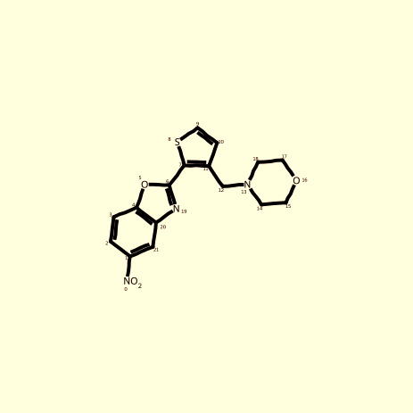 O=[N+]([O-])c1ccc2oc(-c3sccc3CN3CCOCC3)nc2c1